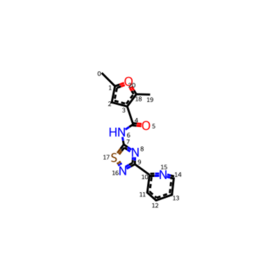 Cc1cc(C(=O)Nc2nc(-c3ccccn3)ns2)c(C)o1